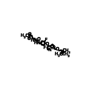 C[Si](C)(C)CCOCn1ccc2c(Oc3c(F)cc(NC(=O)NCCCS(C)(=O)=O)cc3F)ccnc21